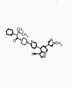 CN(C)C(C(=O)N1CCN(c2ccc(-c3cc(-c4cnn(C)c4)cn4ncc(C#N)c34)cn2)CC1)c1ccccc1